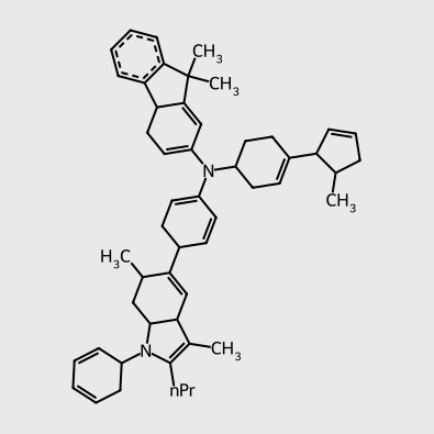 CCCC1=C(C)C2C=C(C3C=CC(N(C4=CCC5C(=C4)C(C)(C)c4ccccc45)C4CC=C(C5C=CCC5C)CC4)=CC3)C(C)CC2N1C1C=CC=CC1